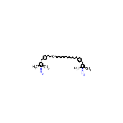 Cc1cc(Cc2ccc(CCCCCCCCCCCCCCCCCc3ccc(Cc4cc(C)c(N)c(C)c4)cc3)cc2)cc(C)c1N